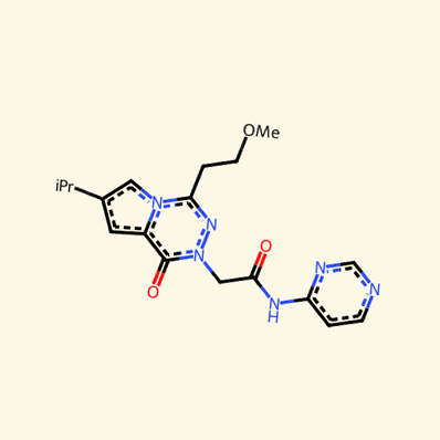 COCCc1nn(CC(=O)Nc2ccncn2)c(=O)c2cc(C(C)C)cn12